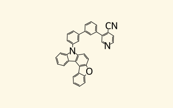 N#Cc1ccncc1-c1cccc(-c2cccc(-n3c4ccccc4c4c5c(ccc43)oc3ccccc35)c2)c1